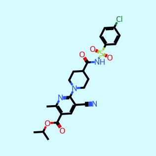 Cc1nc(N2CCC(C(=O)NS(=O)(=O)c3ccc(Cl)cc3)CC2)c(C#N)cc1C(=O)OC(C)C